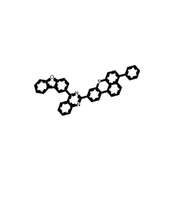 c1ccc(-c2ccc3c4c(cccc24)-c2ccc(-c4nc(-c5ccc6oc7ccccc7c6c5)c5ccccc5n4)cc2S3)cc1